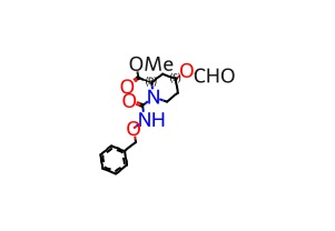 COC(=O)[C@H]1C[C@@H](OC=O)CCN1C(=O)NOCc1ccccc1